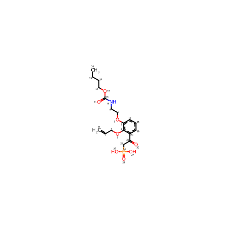 C=CCOc1c(OCCNC(=O)OCCCC)cccc1C(=O)CP(=O)(O)O